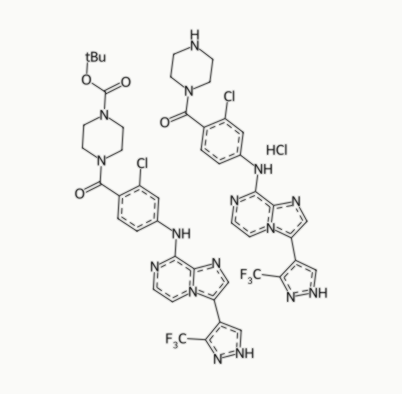 CC(C)(C)OC(=O)N1CCN(C(=O)c2ccc(Nc3nccn4c(-c5c[nH]nc5C(F)(F)F)cnc34)cc2Cl)CC1.Cl.O=C(c1ccc(Nc2nccn3c(-c4c[nH]nc4C(F)(F)F)cnc23)cc1Cl)N1CCNCC1